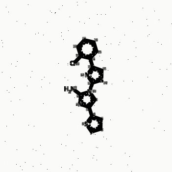 Nc1nc(-c2cccs2)cn1-c1nc(-c2ccccc2Cl)cs1